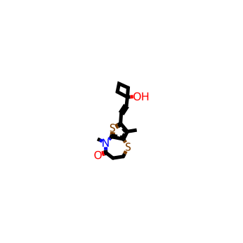 Cc1c(C#CC2(O)CCC2)sc2c1SCCC(=O)N2C